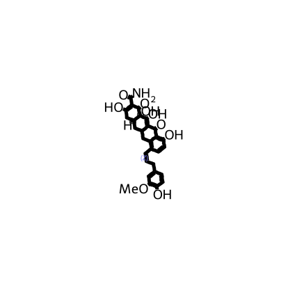 COc1cc(C/C=C\c2ccc(O)c3c2CC2C[C@H]4CC(O)=C(C(N)=O)C(=O)[C@@]4(O)C(O)=C2C3=O)ccc1O